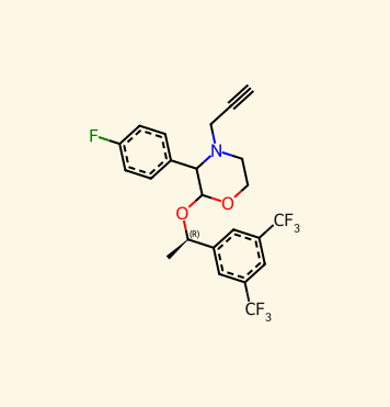 C#CCN1CCOC(O[C@H](C)c2cc(C(F)(F)F)cc(C(F)(F)F)c2)C1c1ccc(F)cc1